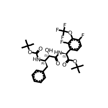 CC(C)(C)OC(=O)N[C@H](Cc1ccccc1)[C@H](O)C(=O)N[C@H](C(=O)OC(C)(C)C)c1ccc(F)c(OC(F)(F)F)c1F